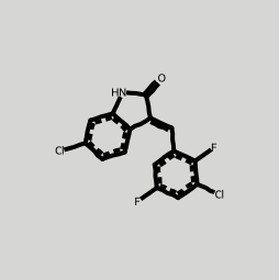 O=C1Nc2cc(Cl)ccc2/C1=C\c1cc(F)cc(Cl)c1F